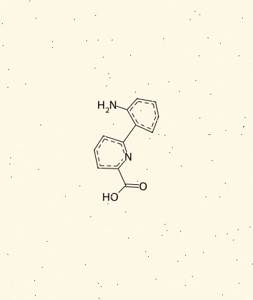 Nc1ccccc1-c1cccc(C(=O)O)n1